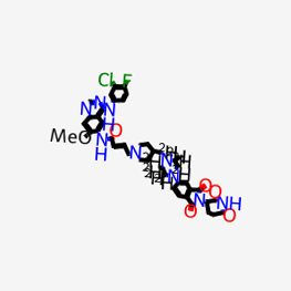 [2H]C1([2H])N(CC2CCN(C/C=C/C(=O)Nc3cc4c(Nc5ccc(F)c(Cl)c5)ncnc4cc3OC)CC2)C([2H])([2H])C([2H])([2H])N(c2ccc3c(c2)C(=O)N(C2CCC(=O)NC2=O)C3=O)C1([2H])[2H]